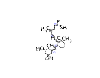 C=C1/C(=C\C=C2/CCCC(C)(C)[C@H]2C/C=C/[C@H](C)C/C=C(/F)S)C[C@@H](O)CC1O